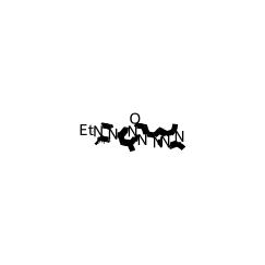 CCN1CCN(c2cc(C)c3nc(-c4cc5c(C)nc(C)cn5n4)cc(=O)n3c2)C[C@H]1C